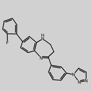 Fc1ccccc1-c1ccc2c(c1)NCCC(c1cccc(-n3ccnn3)c1)=N2